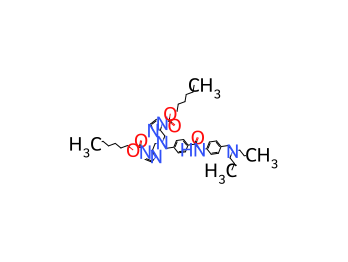 CCCCCCOC(=O)n1ccnc1CN(Cc1ccc(C(=O)Nc2ccc(CN(CCC)CCC)cc2)cc1)Cc1nccn1C(=O)OCCCCCC